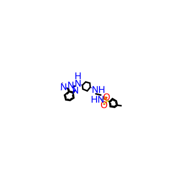 Cc1ccc(S(=O)(=O)NCCN[C@H]2CC[C@@H](Nc3nc(N(C)C)c4ccccc4n3)CC2)cc1